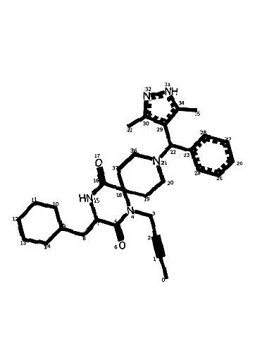 CC#CCN1C(=O)C(CC2CCCCC2)NC(=O)C12CCN(C(c1ccccc1)c1c(C)n[nH]c1C)CC2